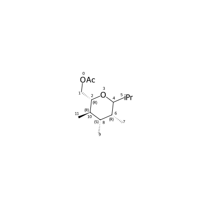 CC(=O)OC[C@@H]1OC(C(C)C)[C@H](C)[C@H](C)[C@H]1C